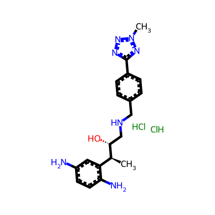 C[C@@H](c1cc(N)ccc1N)[C@H](O)CNCc1ccc(-c2nnn(C)n2)cc1.Cl.Cl